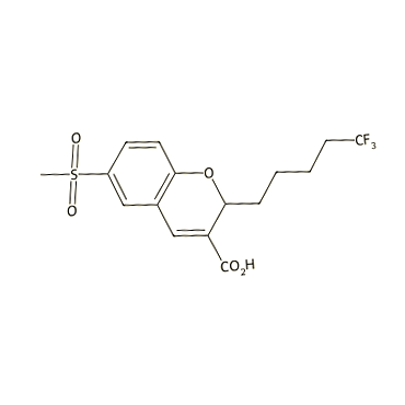 CS(=O)(=O)c1ccc2c(c1)C=C(C(=O)O)C(CCCCC(F)(F)F)O2